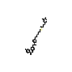 C=C(CCCC(C)CC(=C)C(C)C)SCCCCCCCc1ccc(C(=C)Cc2ccc(CC(=C)c3ccc(C)cc3)cc2)cc1